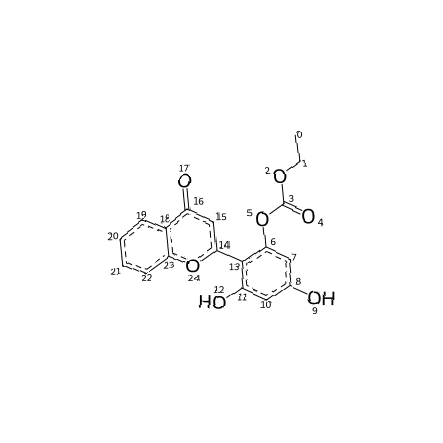 CCOC(=O)Oc1cc(O)cc(O)c1-c1cc(=O)c2ccccc2o1